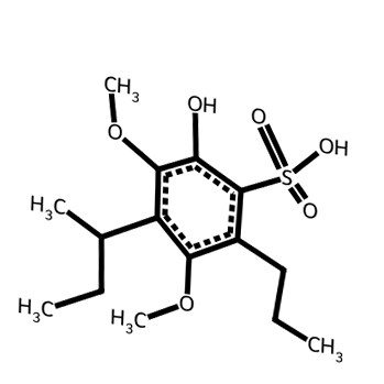 CCCc1c(OC)c(C(C)CC)c(OC)c(O)c1S(=O)(=O)O